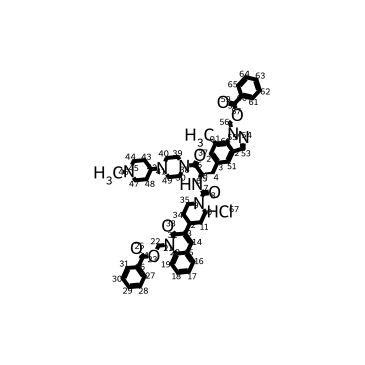 Cc1cc(C[C@@H](NC(=O)N2CCC(c3cc4ccccc4n(COC(=O)c4ccccc4)c3=O)CC2)C(=O)N2CCN(C3CCN(C)CC3)CC2)cc2cnn(COC(=O)c3ccccc3)c12.Cl